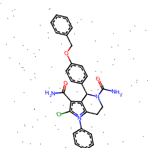 NC(=O)c1c2c(n(-c3ccccc3)c1Cl)CCN(C(N)=O)C2c1ccc(OCc2ccccc2)cc1